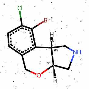 Clc1ccc2c(c1Br)[C@@H]1CNC[C@@H]1OC2